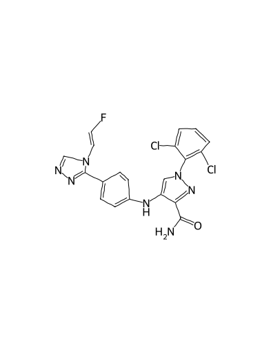 NC(=O)c1nn(-c2c(Cl)cccc2Cl)cc1Nc1ccc(-c2nncn2/C=C/F)cc1